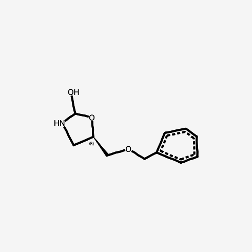 OC1NC[C@H](COCc2ccccc2)O1